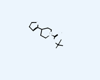 CC(C)(C)OC(=O)N1CCC(C2=CCCS2)CC1